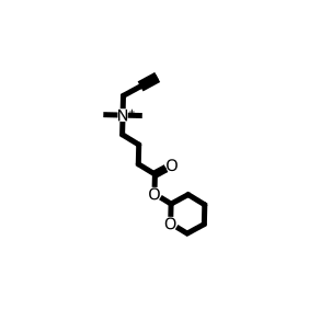 C#CC[N+](C)(C)CCCC(=O)OC1CCCCO1